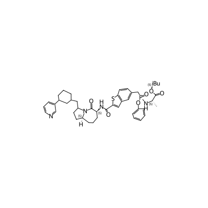 CC[C@H](C)OC(=O)[C@H](C)NP(=O)(Cc1ccc2sc(C(=O)N[C@H]3CCC[C@H]4CCC(CC5CCCC(c6cccnc6)C5)N4C3=O)cc2c1)Oc1ccccc1